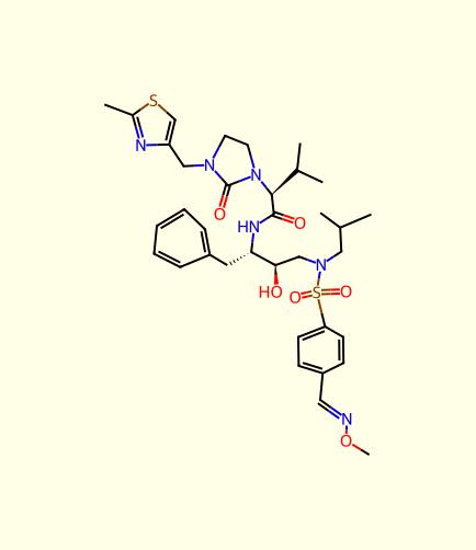 CON=Cc1ccc(S(=O)(=O)N(CC(C)C)C[C@@H](O)[C@H](Cc2ccccc2)NC(=O)[C@H](C(C)C)N2CCN(Cc3csc(C)n3)C2=O)cc1